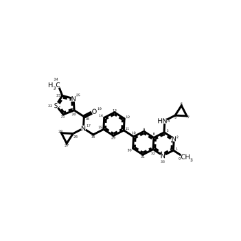 Cc1nc(NC2CC2)c2cc(-c3cccc(CN(C(=O)c4csc(C)n4)C4CC4)c3)ccc2n1